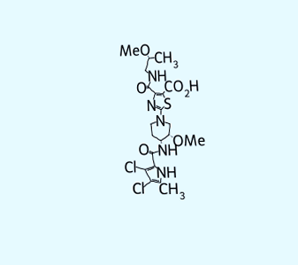 CO[C@H](C)CNC(=O)c1nc(N2CC[C@@H](NC(=O)c3[nH]c(C)c(Cl)c3Cl)[C@@H](OC)C2)sc1C(=O)O